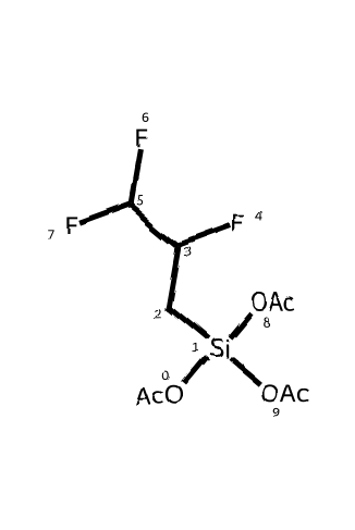 CC(=O)O[Si](CC(F)C(F)F)(OC(C)=O)OC(C)=O